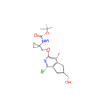 Cc1c(OCC2(NC(=O)OC(C)(C)C)CC2)nc(Br)c2c1CC(CO)C2